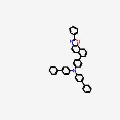 C1=CC(c2ccc(N(c3ccc(-c4ccccc4)cc3)c3ccc(-c4cccc5c4ccc4nc(-c6ccccc6)oc45)cc3)cc2)=CCC1